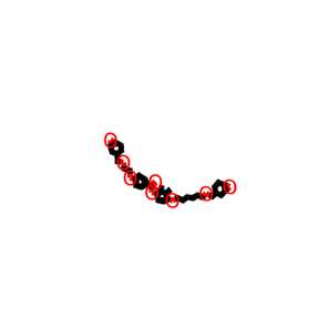 Cc1c(OCCCCCCOCC2CCC3OC3C2)ccc(OC(=O)c2ccc(OCCOCC3CCC4OC4C3)cc2)c1C